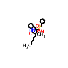 CCCCCCC1C(=O)NC(C(=O)SCc2ccccc2)(C(O)C2CCCCC2)C1(C)O